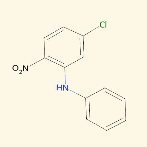 O=[N+]([O-])c1ccc(Cl)cc1Nc1ccccc1